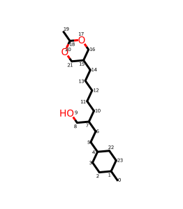 CC1CCC(CCC(CO)CCCCCC2COC(C)OC2)CC1